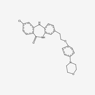 O=C1Nc2cc(CCOc3ccc(N4CCOCC4)cc3)ccc2Nc2cc(Cl)ccc21